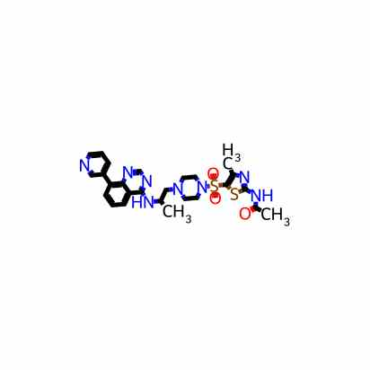 CC(=O)Nc1nc(C)c(S(=O)(=O)N2CCN(CC(C)Nc3ncnc4c(-c5cccnc5)cccc34)CC2)s1